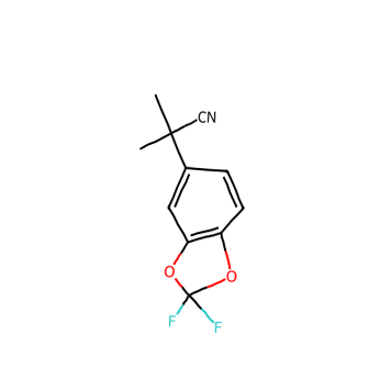 CC(C)(C#N)c1ccc2c(c1)OC(F)(F)O2